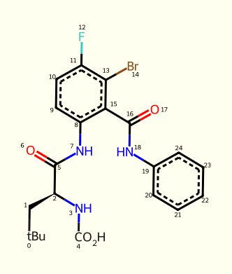 CC(C)(C)C[C@H](NC(=O)O)C(=O)Nc1ccc(F)c(Br)c1C(=O)Nc1ccccc1